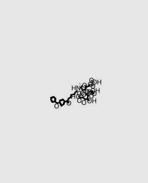 CO[C@H]1C(C(=O)O)O[C@@H](O[C@H]2C(COS(=O)(=O)O)O[C@@H](C)C(NC(=O)CCCCCC(=O)c3ccc(C(=O)c4ccccc4)cc3)[C@H]2O)[C@@H](OS(=O)(=O)O)C1O